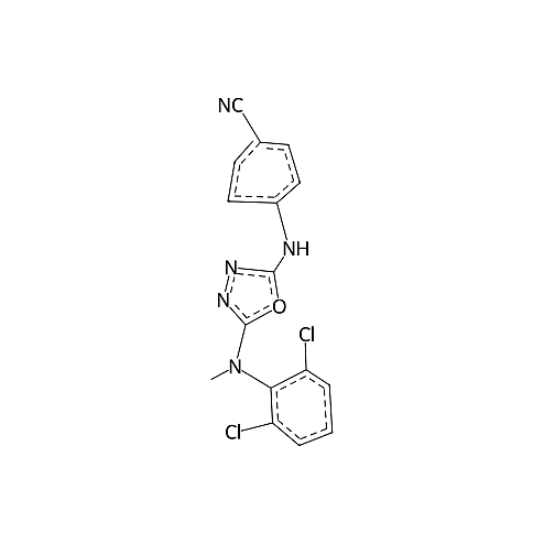 CN(c1nnc(Nc2ccc(C#N)cc2)o1)c1c(Cl)cccc1Cl